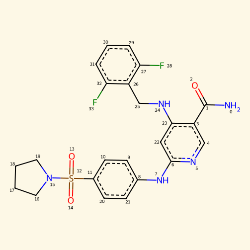 NC(=O)c1cnc(Nc2ccc(S(=O)(=O)N3CCCC3)cc2)cc1NCc1c(F)cccc1F